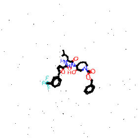 CC(C)CC(NC(=O)c1ccc(-c2cccc(C(F)(F)F)c2)o1)C(=O)NC1CCCN(C(=O)OCc2ccccc2)CC1O